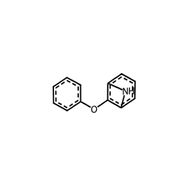 c1ccc(Oc2c3cccc2N3)cc1